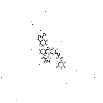 O=C1OCc2cc(-c3ccc4cc(O)ccc4c3Oc3ccc(OCCN4CCCCC4)cc3)ccc21